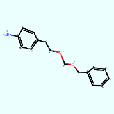 Nc1ccc(CCOCOCc2ccccc2)cc1